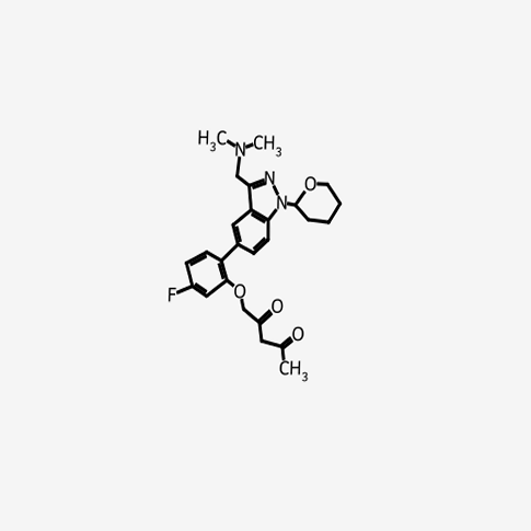 CC(=O)CC(=O)COc1cc(F)ccc1-c1ccc2c(c1)c(CN(C)C)nn2C1CCCCO1